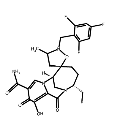 CC1C[C@]2(CC[C@H](CF)N3C[C@H]2n2cc(C(N)=O)c(=O)c(O)c2C3=O)ON1Cc1c(F)cc(F)cc1F